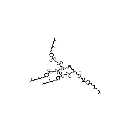 CC(C)=CCC/C(C)=C/CCC1=CCC(C(=O)OCCOC(=O)CCN(CCCN(C)CCCN(CCC(=O)OCCOC(=O)C2CC=C(CC/C=C(\C)CCC=C(C)C)CC2)CCC(=O)OCCOC(=O)C2CC=C(CC/C=C(\C)CCC=C(C)C)CC2)CCC(=O)OCCOC(=O)C2CC=C(CC/C=C(\C)CCC=C(C)C)CC2)CC1